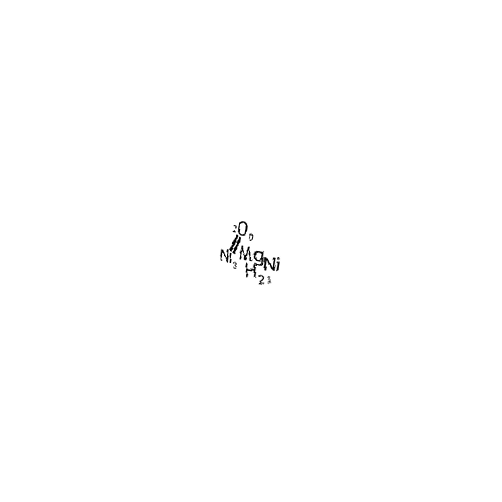 [MgH2].[Ni].[O]=[Ni]